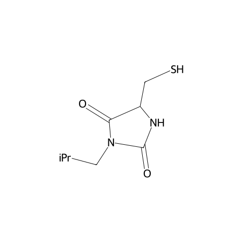 CC(C)CN1C(=O)NC(CS)C1=O